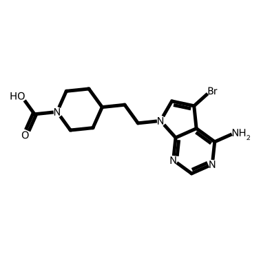 Nc1ncnc2c1c(Br)cn2CCC1CCN(C(=O)O)CC1